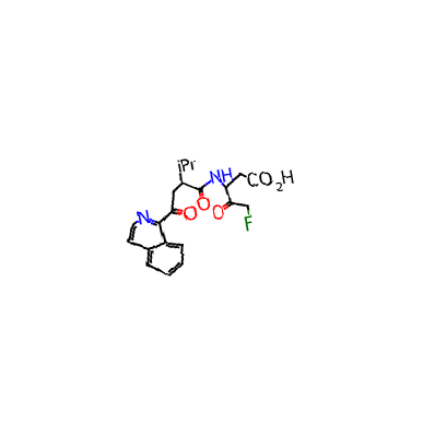 CC(C)C(CC(=O)c1nccc2ccccc12)C(=O)NC(CC(=O)O)C(=O)CF